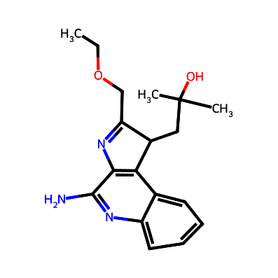 CCOCC1=Nc2c(N)nc3ccccc3c2C1CC(C)(C)O